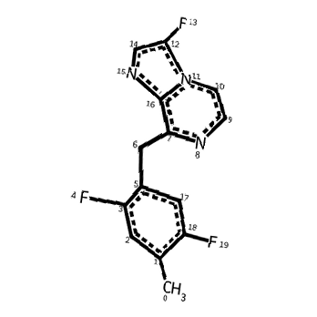 Cc1cc(F)c(Cc2nccn3c(F)cnc23)cc1F